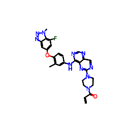 C=CC(=O)N1CCN(c2ncc3ncnc(Nc4ccc(Oc5cc(F)c6c(c5)nnn6C)c(C)c4)c3n2)CC1